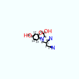 N#CCC(C#N)CN(CC(=O)O)c1ccc(O)cc1